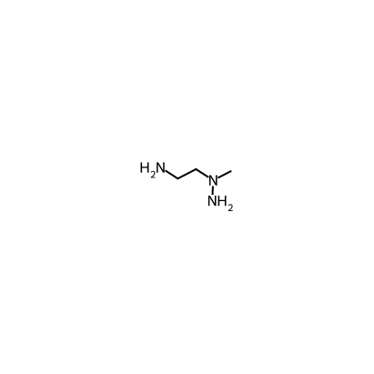 CN(N)CCN